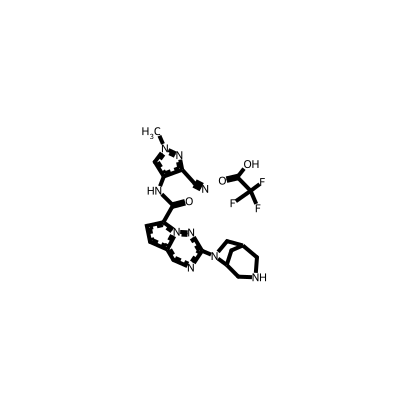 Cn1cc(NC(=O)c2ccc3cnc(N4CC5CNCC4C5)nn23)c(C#N)n1.O=C(O)C(F)(F)F